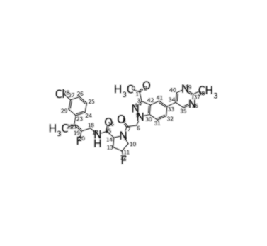 CC(=O)c1nn(CC(=O)N2CC(F)CC2C(=O)NC/C(F)=C(/C)c2cccc(Cl)c2)c2ccc(-c3cnc(C)nc3)cc12